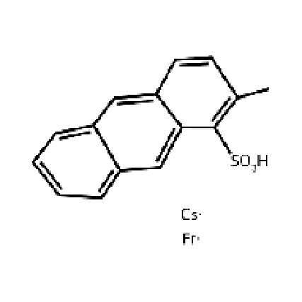 Cc1ccc2cc3ccccc3cc2c1S(=O)(=O)O.[Cs].[Fr]